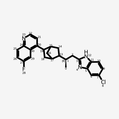 C[C@H](Cc1nc2cc(Cl)ccc2[nH]1)C1CC2CC1CC2c1ccnc2ccc(F)cc12